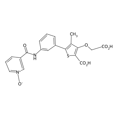 Cc1c(-c2cccc(NC(=O)c3ccc[n+]([O-])c3)c2)sc(C(=O)O)c1OCC(=O)O